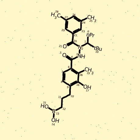 CCCC(N(NC(=O)c1ccc(CCCB(O)O)c(O)c1C)C(=O)c1cc(C)cc(C)c1)C(C)(C)C